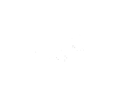 CC1C(=O)N(c2ccccc2)CC1NC(=O)Nc1ccc(Cl)cc1